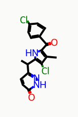 Cc1c(C(=O)c2ccc(Cl)cc2)[nH]c(C(C)c2ccc(=O)[nH]n2)c1Cl